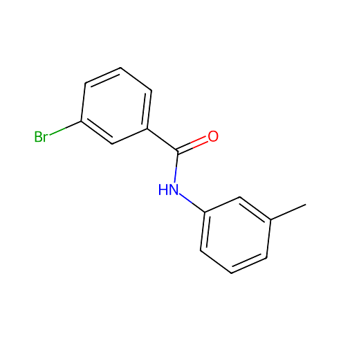 Cc1cccc(NC(=O)c2cccc(Br)c2)c1